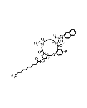 CCCCCCCCCC(=O)N[C@H]1C[C@H]2COc3ccc(F)cc3C(=O)N(C)[C@@H](C(=O)NCc3ccc4ccccc4c3)CCC(=O)N(C)CC(=O)N2C1